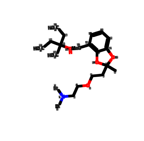 CCN(CC)CCOCCC1(C)Oc2cccc(OC)c2O1.O=C(O)CC(O)(CC(=O)O)C(=O)O